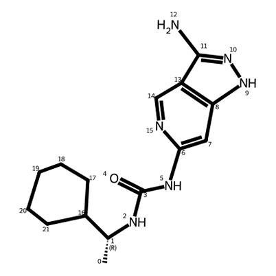 C[C@@H](NC(=O)Nc1cc2[nH]nc(N)c2cn1)C1CCCCC1